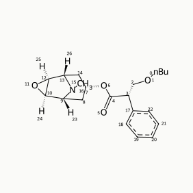 CCCCOC[C@@H](C(=O)O[C@@H]1C[C@@H]2[C@H]3O[C@H]3[C@H](C1)N2C)c1ccccc1